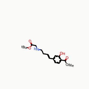 COC(=O)c1ccc(C=CCCNCC(=O)OC(C)(C)C)cc1O